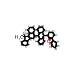 CC1(C)c2ccccc2-c2cc(-c3c4ccccc4c(-c4cccc5c4oc4ccccc45)c4ccccc34)c3ccccc3c21